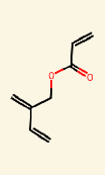 C=CC(=C)COC(=O)C=C